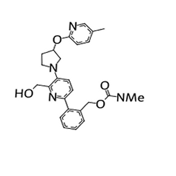 CNC(=O)OCc1ccccc1-c1ccc(N2CCC(Oc3ccc(C)cn3)C2)c(CO)n1